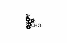 O=CC1C(c2ccsc2)=C(c2ccc(Br)cc2)Oc2ccccc21